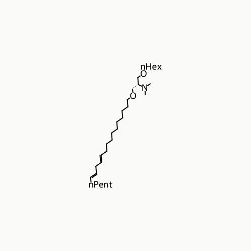 CCCCCC=CCC=CCCCCCCCCCCOC[C@H](COCCCCCC)N(C)C